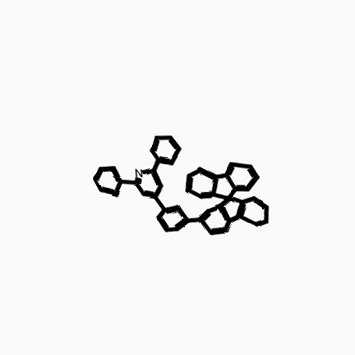 C1=C=C(c2cc(-c3cccc(-c4ccc5c(c4)C4(C6=C5CCC=C6)c5ccccc5-c5ccccc54)c3)cc(-c3ccccc3)n2)C=CC=1